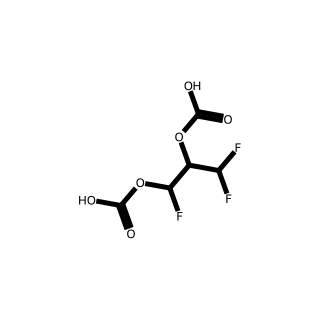 O=C(O)OC(F)C(OC(=O)O)C(F)F